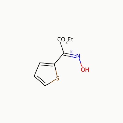 CCOC(=O)/C(=N/O)c1cccs1